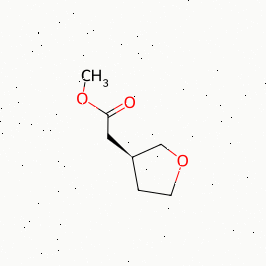 COC(=O)C[C@@H]1CCOC1